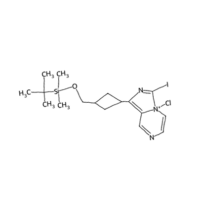 CC(C)(C)[Si](C)(C)OCC1CC(C2=C3C=NC=C[N+]3(Cl)C(I)=N2)C1